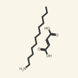 CCCCCCCCCCCCN.O=C(O)C=CC(=O)O